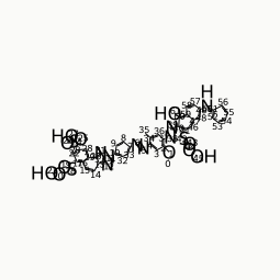 COc1cc(N=Nc2ccc(-n3nc4ccc5c(SOOO)cc(S(=O)(=O)O)cc5c4n3)cc2)c(C)cc1N=Nc1c(SOOO)cc2cc(Nc3ccccc3)ccc2c1O